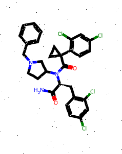 NC(=O)[C@H](Cc1ccc(Cl)cc1Cl)N(C(=O)C1(c2ccc(Cl)cc2Cl)CC1)C1CCN(Cc2ccccc2)C1